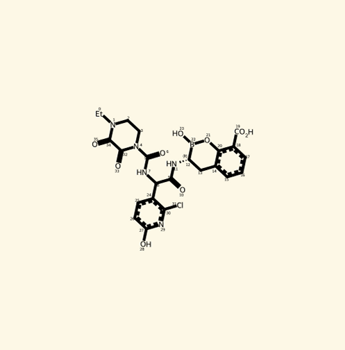 CCN1CCN(C(=O)NC(C(=O)N[C@H]2Cc3cccc(C(=O)O)c3OB2O)c2ccc(O)nc2Cl)C(=O)C1=O